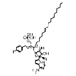 CCCCCCCCCCCCCCCCCCOC(C[C@H]1O[C@@](C#N)(c2ccc3c(N)ncnn23)[C@H](O)[C@@H]1O)[C@@H](COP(=O)(O)O)OCc1ccc(F)cc1